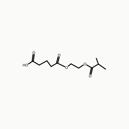 CC(C)C(=O)OCCOC(=O)CCCC(=O)O